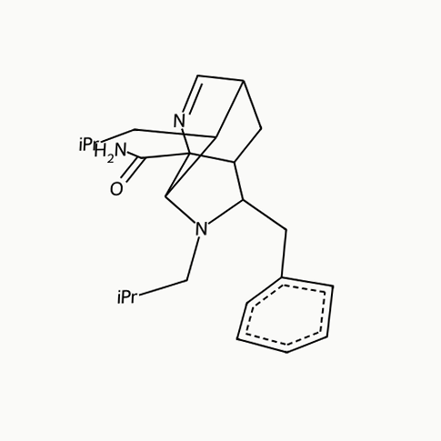 CC(C)CC1C2C=NC3(C(N)=O)C(C2)C(Cc2ccccc2)N(CC(C)C)C13